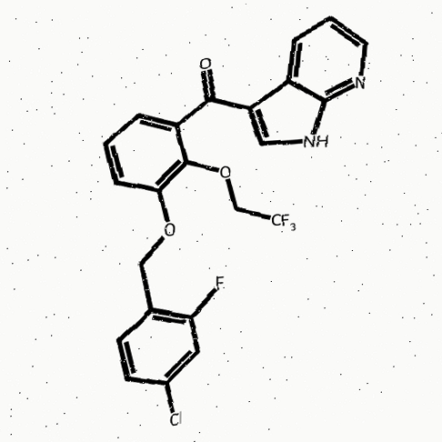 O=C(c1cccc(OCc2ccc(Cl)cc2F)c1OCC(F)(F)F)c1c[nH]c2ncccc12